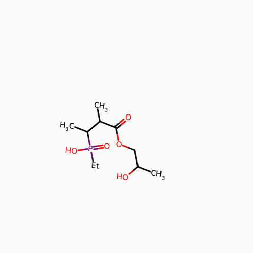 CCP(=O)(O)C(C)C(C)C(=O)OCC(C)O